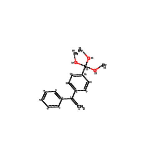 C=C(c1ccccc1)c1ccc([Si](OC(C)C)(OC(C)C)OC(C)C)cc1